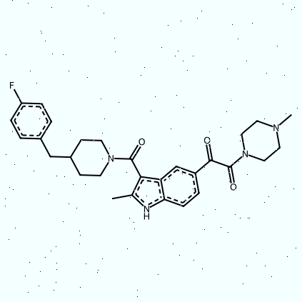 Cc1[nH]c2ccc(C(=O)C(=O)N3CCN(C)CC3)cc2c1C(=O)N1CCC(Cc2ccc(F)cc2)CC1